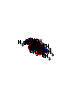 CCCCOC1[C@H](O[C@H]2OC(COS(=O)(=O)O)[C@@H](OCCCC)[C@H](OCCCC)C2N=[N+]=[N-])C(C(=O)C(=O)O)O[C@@H](O[C@@H]2C(COS(=O)(=O)O)O[C@H](O[C@@H]3C(C(=O)O)O[C@@H](O[C@@H]4C(COS(=O)(=O)O)O[C@H](OC)C(N=[N+]=[N-])[C@H]4OCCCC)C(OS(=O)(=O)O)[C@H]3OCCCC)C(N=[N+]=[N-])[C@H]2OS(=O)(=O)O)[C@H]1OCCCC